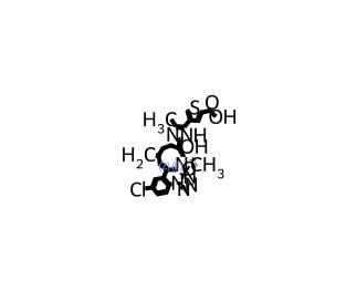 C=C1/C=C(c2cc(Cl)ccc2-n2cnnn2)\C=[N+](\OC)CC(O)(c2nc(C)c(-c3csc(C(=O)O)c3)[nH]2)CC1